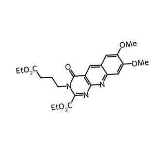 CCOC(=O)CCCn1c(C(=O)OCC)nc2nc3cc(OC)c(OC)cc3cc2c1=O